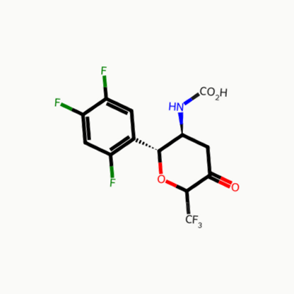 O=C(O)N[C@H]1CC(=O)C(C(F)(F)F)O[C@@H]1c1cc(F)c(F)cc1F